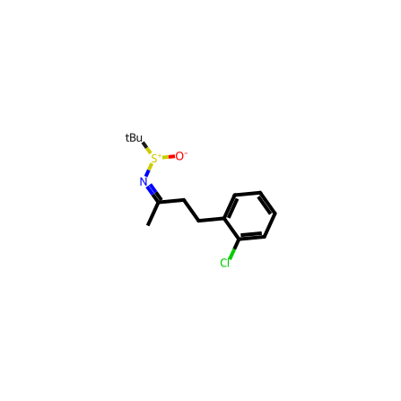 C/C(CCc1ccccc1Cl)=N/[S+]([O-])C(C)(C)C